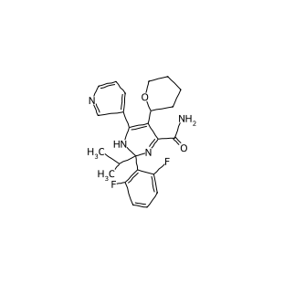 CC(C)C1(c2c(F)cccc2F)N=C(C(N)=O)C(C2CCCCO2)=C(c2cccnc2)N1